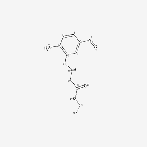 Bc1ccc(N=O)cc1CNCC(=O)OCC